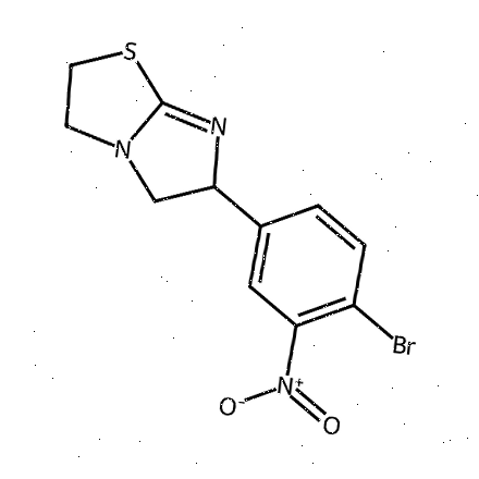 O=[N+]([O-])c1cc(C2CN3CCSC3=N2)ccc1Br